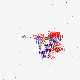 CC(=O)N[C@H]1[C@H](O[C@@H]2c3ccc(c(Cl)c3)Oc3cc4cc(c3O[C@@H]3O[C@H](CO)[C@@H](O)[C@H](O)[C@H]3NC(=O)CCCCCCCC(C)C)Oc3ccc(cc3Cl)C[C@H]3NC(=O)[C@H](N)c5ccc(O)c(c5)Oc5cc(O)cc(c5)[C@H](NC3=O)C(=O)N[C@H]4C(=O)N[C@H]3C(=O)N[C@@H]2C(=O)N[C@@H](C(=O)OCC(=O)NC(P(=O)(O)O)P(=O)(O)O)c2cc(O)cc(O[C@H]4O[C@H](CO)[C@@H](O)[C@H](O)[C@@H]4O)c2-c2cc3ccc2O)O[C@H](CO)[C@@H](O)[C@@H]1O